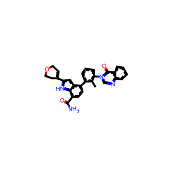 Cc1c(-c2ccc(C(N)=O)c3[nH]c(C4=CCOCC4)cc23)cccc1-n1cnc2ccccc2c1=O